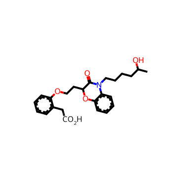 CC(O)CCCCN1C(=O)C(CCOc2ccccc2CC(=O)O)Oc2ccccc21